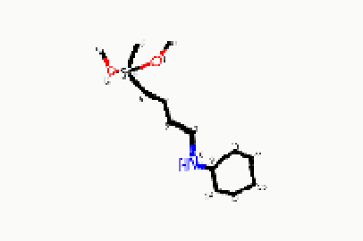 CO[Si](C)(CCCCNC1CCCCC1)OC